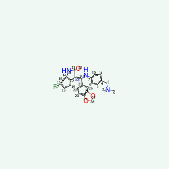 CN(C)Cc1ccc(N/C(=C2\C(=O)Nc3cc(F)ccc32)c2ccc3c(c2)OCO3)cc1